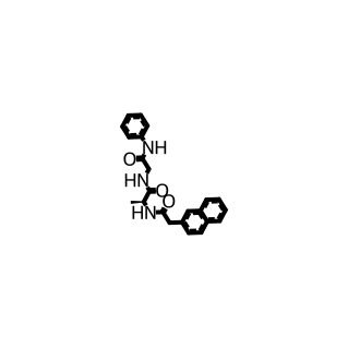 C[C@H](NC(=O)Cc1ccc2ccccc2c1)C(=O)NCC(=O)Nc1ccccc1